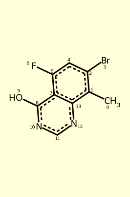 Cc1c(Br)cc(F)c2c(O)ncnc12